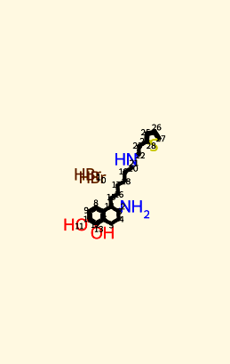 Br.Br.NC1CCc2c(ccc(O)c2O)C1CCCCCCNCCc1cccs1